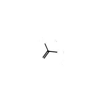 N.O=C(O)O.[Zr]